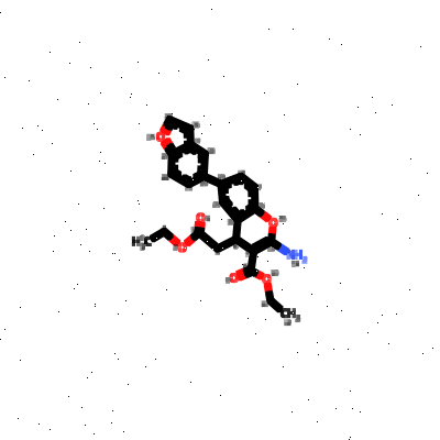 CCOC(=O)CC1C(C(=O)OCC)=C(N)Oc2ccc(-c3ccc4occc4c3)cc21